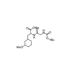 COC(=O)C(CC1CCCC(OC)C1)NC(=O)CNC(=O)OC(C)(C)C